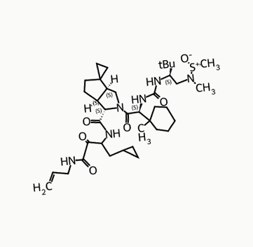 C=CCNC(=O)C(=O)C(CC1CC1)NC(=O)[C@@H]1[C@H]2CCC3(CC3)[C@H]2CN1C(=O)[C@@H](NC(=O)N[C@H](CN(C)[S+](C)[O-])C(C)(C)C)C1(C)CCCCC1